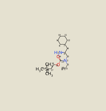 CC(C)CN(C[C@@H](N)CC1CCCCC1)C(=O)OCC[Si](C)(C)C